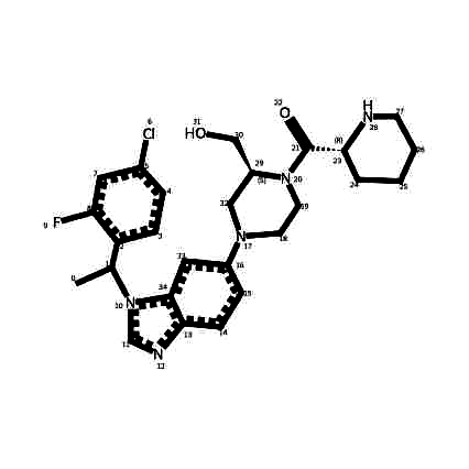 CC(c1ccc(Cl)cc1F)n1cnc2ccc(N3CCN(C(=O)[C@H]4CCCCN4)[C@H](CO)C3)cc21